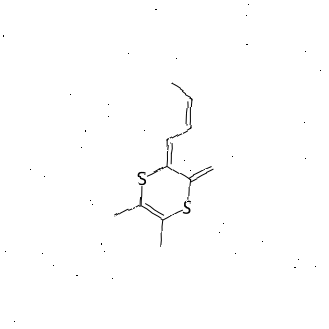 C=C1SC(C)=C(C)S/C1=C/C=C\C